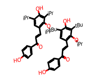 CC(C)Oc1c(C=CC(=O)c2ccc(O)cc2)cc(C(C)(C)C)c(O)c1C(C)(C)C.CC(C)Oc1c(C=CC(=O)c2ccc(O)cc2)cc(C(C)C)c(O)c1C(C)C